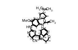 C=CC(=O)Nc1cc(Nc2ncc(C#N)c(-c3cn4c5c(cccc35)OCC4)n2)c(OC)cc1N1CC[C@@H](N(C)C)C1